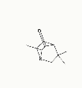 CC1C(=O)C2CCN1CC2(C)C